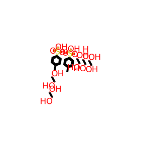 Cc1ccc(S(=O)(=O)O)cc1.Cc1ccc(S(=O)(=O)O)cc1.OCCO.OCCO.OCCO.OCCO.OCCO